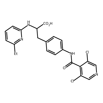 CCc1cccc(NC(Cc2ccc(NC(=O)c3c(Cl)cncc3Cl)cc2)C(=O)O)n1